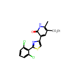 CCOC(=O)c1cc(-c2csc(-c3c(Cl)cccc3Cl)n2)c(=O)[nH]c1C